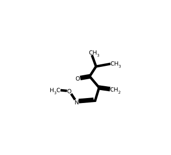 C=C(/C=N\OC)C(=O)C(C)C